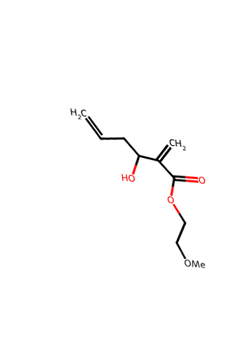 C=CCC(O)C(=C)C(=O)OCCOC